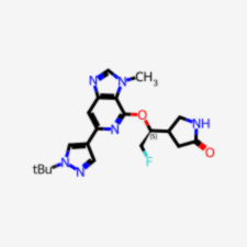 Cn1cnc2cc(-c3cnn(C(C)(C)C)c3)nc(O[C@H](CF)C3CNC(=O)C3)c21